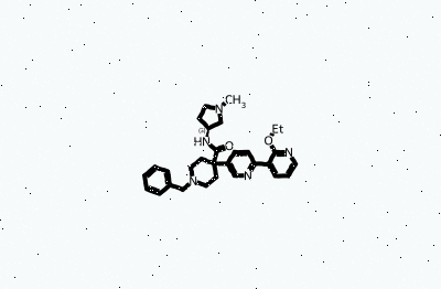 CCOc1ncccc1-c1ccc(C2(C(=O)N[C@H]3CCN(C)C3)CCN(Cc3ccccc3)CC2)cn1